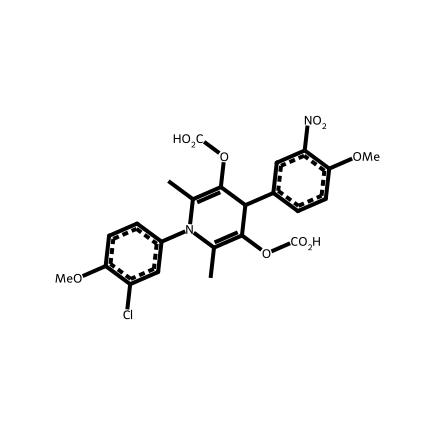 COc1ccc(N2C(C)=C(OC(=O)O)C(c3ccc(OC)c([N+](=O)[O-])c3)C(OC(=O)O)=C2C)cc1Cl